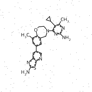 Cc1cc(-c2cnc3sc(N)nc3c2)cc2c1OCCN(c1nc(N)nc(C)c1C1CC1)C2